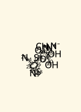 CO[C@@H]1[C@@H](N=[N+]=[N-])[C@@H](O)[C@@H](CO)O[C@@H]1Sc1cc2scnc2cc1C#N